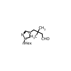 CCCCCCN1CN(CC(C)(C)CC=O)C=N1